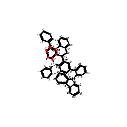 c1ccc(-c2ccc(N(c3ccccc3)c3ccc(-c4ccccc4-n4c5ccccc5c5ccccc54)cc3C3Cc4ccccc4-c4ccccc43)cc2)cc1